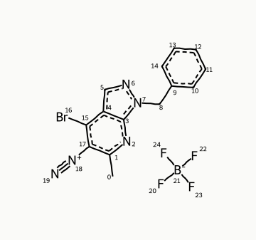 Cc1nc2c(cnn2Cc2ccccc2)c(Br)c1[N+]#N.F[B-](F)(F)F